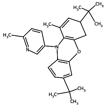 CC1=CC(C(C)(C)C)CC2=C1N(c1ccc(C)nc1)c1ccc(C(C)(C)C)cc1O2